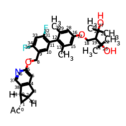 CC(=O)[C@H]1[C@@H]2Cc3cc(OCc4cc(-c5c(C)cc(OCC(C(C)(C)O)C(C)(C)O)cc5C)c(F)cc4F)ncc3[C@@H]21